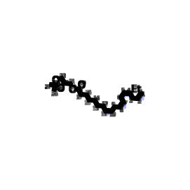 CC/C=C\C/C=C\C/C=C\C/C=C\CCCCCCC(=O)OCC1COC(C)(C)O1